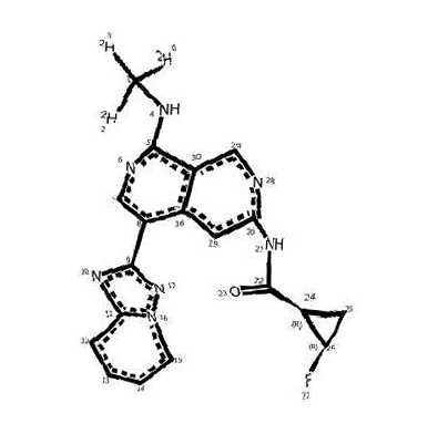 [2H]C([2H])([2H])Nc1ncc(-c2nc3ccccn3n2)c2cc(NC(=O)[C@H]3C[C@H]3F)ncc12